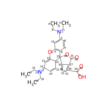 CCN(CC)c1ccc2c(c1)OC1=CC(=[N+](CC)CC)C=CC1C21OC(=O)c2c(C(=O)O)cccc21